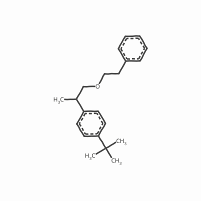 C[C](COCCc1ccccc1)c1ccc(C(C)(C)C)cc1